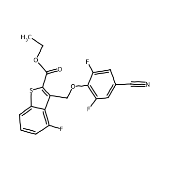 CCOC(=O)c1sc2cccc(F)c2c1COc1c(F)cc(C#N)cc1F